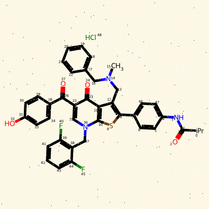 CC(C)C(=O)Nc1ccc(-c2sc3c(c2CN(C)Cc2ccccc2)c(=O)c(C(=O)c2ccc(O)cc2)cn3Cc2c(F)cccc2F)cc1.Cl